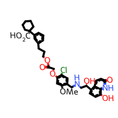 COc1cc(OCC(=O)OCCCc2cccc(C3(C(=O)O)CCCCC3)c2)c(Cl)cc1CNC[C@H](O)c1ccc(O)c2[nH]c(=O)ccc12